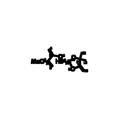 C=C(OC)C(=C)OBB1OC(=C)C(C)(C)O1